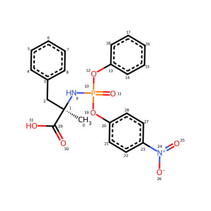 C[C@](Cc1ccccc1)(NP(=O)(Oc1ccccc1)Oc1ccc([N+](=O)[O-])cc1)C(=O)O